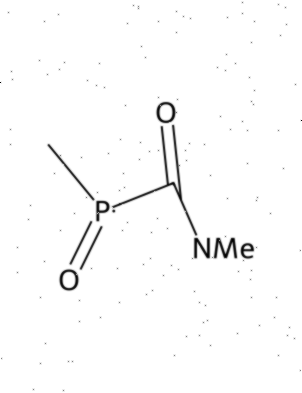 CNC(=O)[P](C)=O